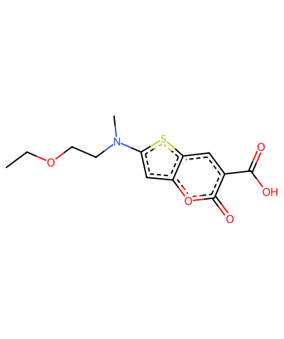 CCOCCN(C)c1cc2oc(=O)c(C(=O)O)cc2s1